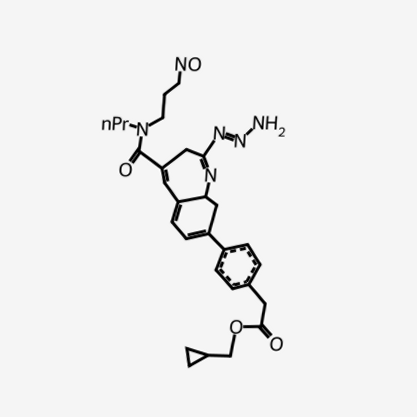 CCCN(CCCN=O)C(=O)C1=CC2=CC=C(c3ccc(CC(=O)OCC4CC4)cc3)CC2N=C(N=NN)C1